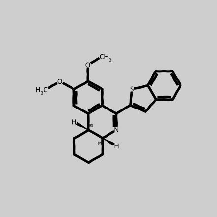 COc1cc2c(cc1OC)[C@H]1CCCC[C@H]1N=C2c1cc2ccccc2s1